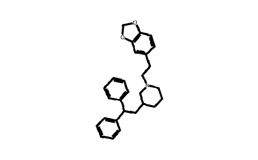 c1ccc(C(CC2CCCN(CCc3ccc4c(c3)OCO4)C2)c2ccccc2)cc1